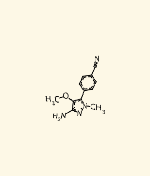 COc1c(N)nn(C)c1-c1ccc(C#N)cc1